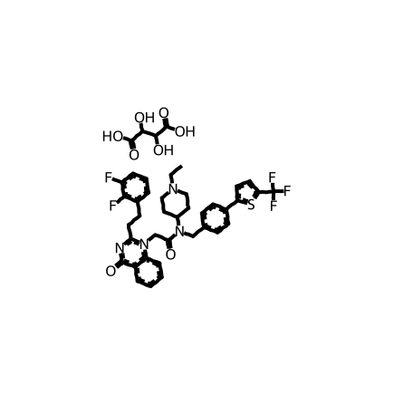 CCN1CCC(N(Cc2ccc(-c3ccc(C(F)(F)F)s3)cc2)C(=O)Cn2c(CCc3cccc(F)c3F)nc(=O)c3ccccc32)CC1.O=C(O)C(O)C(O)C(=O)O